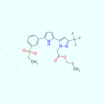 CCS(=O)(=O)c1cccc(-c2ccc(-c3cc(C(F)(F)F)nn3CC(=O)OCSC)[nH]2)c1